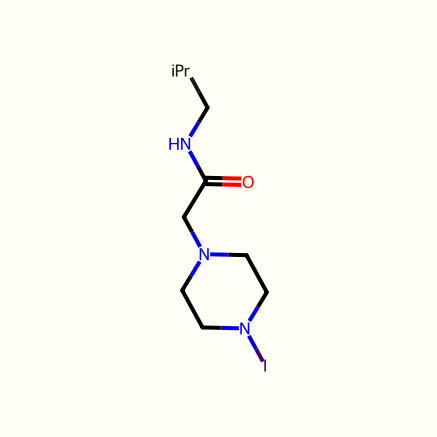 CC(C)CNC(=O)CN1CCN(I)CC1